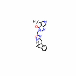 Cc1cncc2ncn(Cc3nc(C[C@@H]4c5ccccc5C5C[C@@H]54)no3)c(=O)c12